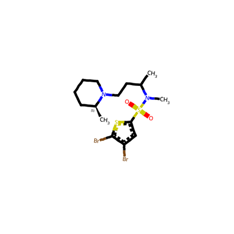 CC(CCN1CCCC[C@@H]1C)N(C)S(=O)(=O)c1cc(Br)c(Br)s1